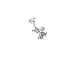 CCCCCCOCC(O)C(CC(=O)O)C(O)C(I)C=O